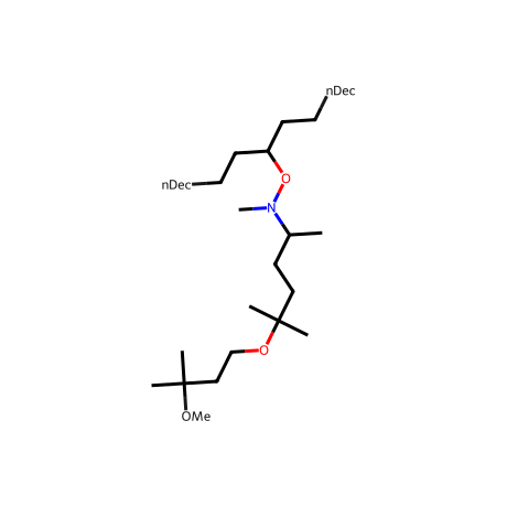 CCCCCCCCCCCCC(CCCCCCCCCCCC)ON(C)C(C)CCC(C)(C)OCCC(C)(C)OC